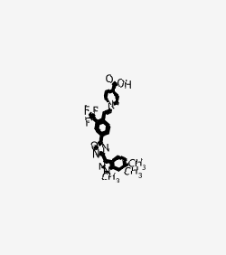 Cn1nc(-c2noc(-c3ccc(CCN4CCC(C(=O)O)CC4)c(C(F)(F)F)c3)n2)c2c1CC(C)(C)CC2